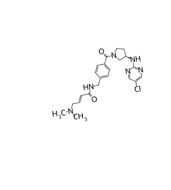 CN(C)C/C=C/C(=O)NCc1ccc(C(=O)N2CC[C@@H](Nc3ncc(Cl)cn3)C2)cc1